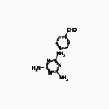 Nc1nc(N)nc(N)n1.O=Cc1ccccc1